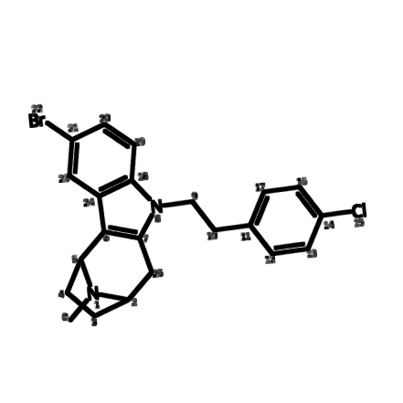 CN1C2CCC1c1c(n(CCc3ccc(Cl)cc3)c3ccc(Br)cc13)C2